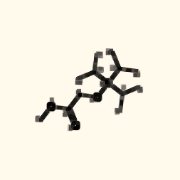 COC(=O)CO[Si](C(C)C)(C(C)C)C(C)C